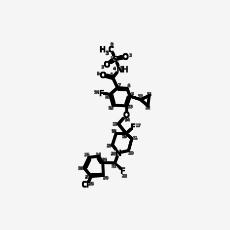 CS(=O)(=O)NC(=O)c1cc(C2CC2)c(OCC2(F)CCN([C@@H](F)c3cccc(Cl)c3)CC2)cc1F